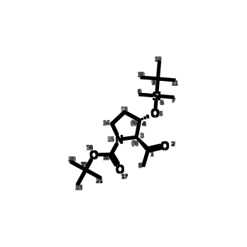 CC(=O)[C@@H]1[C@@H](O[Si](C)(C)C(C)(C)C)CCN1C(=O)OC(C)(C)C